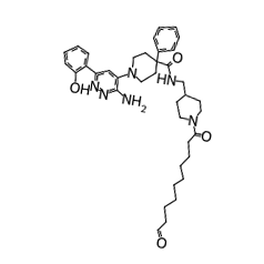 Nc1nnc(-c2ccccc2O)cc1N1CCC(C(=O)NCC2CCN(C(=O)CCCCCCCCC=O)CC2)(c2ccccc2)CC1